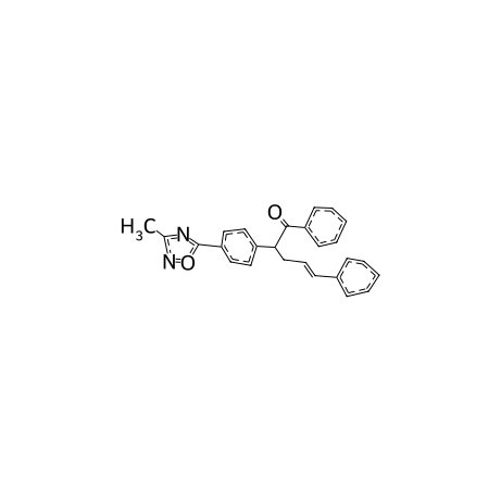 Cc1noc(-c2ccc(C(CC=Cc3ccccc3)C(=O)c3ccccc3)cc2)n1